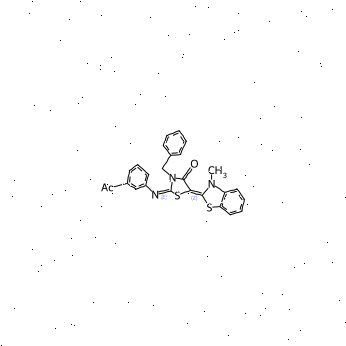 CC(=O)c1cccc(/N=C2/S/C(=C3\Sc4ccccc4N3C)C(=O)N2Cc2ccccc2)c1